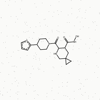 O=C(NO)C1CC2(CC2)CNC1C(=O)N1CCC(c2cccs2)CC1